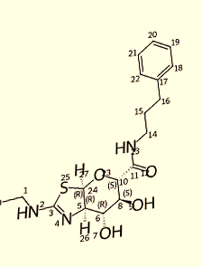 CCNC1=N[C@@H]2[C@@H](O)[C@H](O)[C@@H](C(=O)NCCCc3ccccc3)O[C@@H]2S1